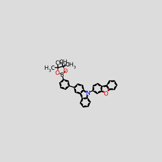 CC1(C)OB(c2cccc(-c3ccc4c(c3)c3ccccc3n4-c3ccc4c(c3)oc3ccccc34)c2)OC1(C)C